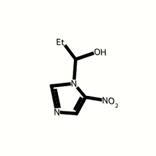 CCC(O)n1cncc1[N+](=O)[O-]